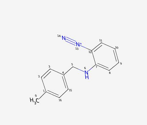 Cc1ccc(CNc2ccccc2[N+]#N)cc1